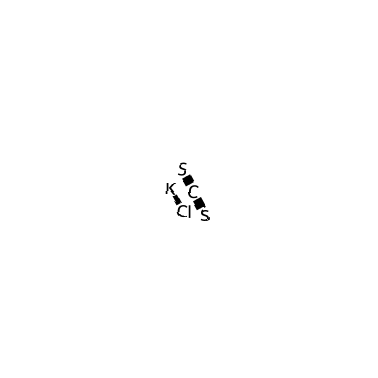 S=C=S.[Cl][K]